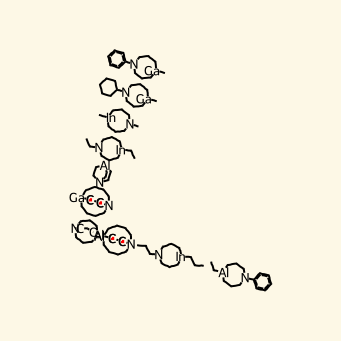 C1CN2CC[CH2][Al]([CH2]1)[CH2]CC2.C1C[CH2][Al]2[CH2]CCCN(C1)CCC[CH2]2.C1C[CH2][Ga]2[CH2]CCCN(C1)CCC[CH2]2.C1[CH2][Al]2[CH2]CN1C[CH2]2.CCCN1CC[CH2][In]([CH2]CC)[CH2]CC1.CCN1CC[CH2][In]([CH2]C)[CH2]CC1.CN1CC[CH2][In]([CH3])[CH2]CC1.C[CH2][Al]1[CH2]CCN(c2ccccc2)CC[CH2]1.[CH3][Ga]1[CH2]CCN(C2CCCCC2)CC[CH2]1.[CH3][Ga]1[CH2]CCN(c2ccccc2)CC[CH2]1